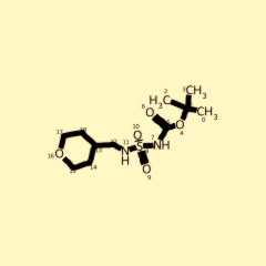 CC(C)(C)OC(=O)NS(=O)(=O)NCC1CCOCC1